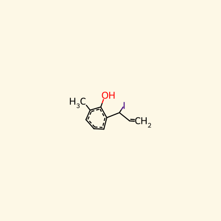 C=CC(I)c1cccc(C)c1O